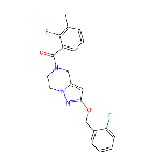 Cc1cccc(C(=O)N2CCn3nc(OCc4ccccc4F)cc3C2)c1F